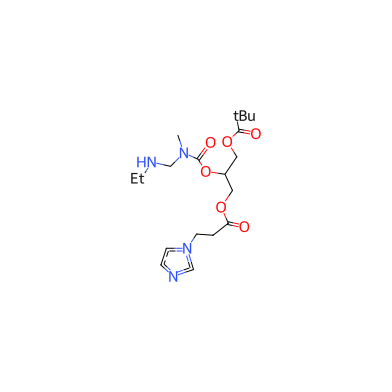 CCNCN(C)C(=O)OC(COC(=O)CCn1ccnc1)COC(=O)C(C)(C)C